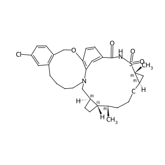 C[C@@H]1CCC[C@@H]2C[C@@]2(C)S(=O)(=O)NC(=O)c2ccc3c(c2)N(CCCCc2cc(Cl)ccc2CO3)C[C@@H]2CC[C@H]21